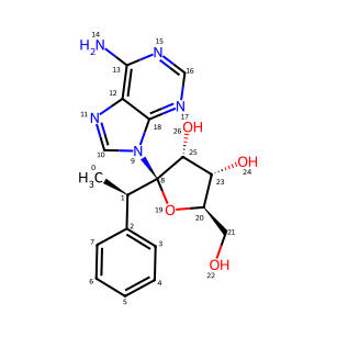 C[C@H](c1ccccc1)[C@@]1(n2cnc3c(N)ncnc32)O[C@H](CO)[C@@H](O)[C@H]1O